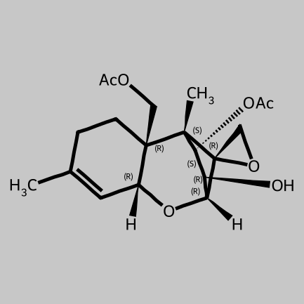 CC(=O)OC[C@]12CCC(C)=C[C@H]1O[C@@H]1[C@H](O)[C@@H](OC(C)=O)[C@@]2(C)[C@@]12CO2